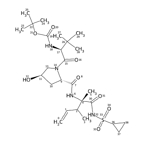 C=CC(C)[C@](C)(NC(=O)[C@@H]1C[C@@H](O)CN1C(=O)[C@@H](NC(=O)OC(C)(C)C)C(C)(C)C)C(=O)NS(=O)(=O)C1CC1